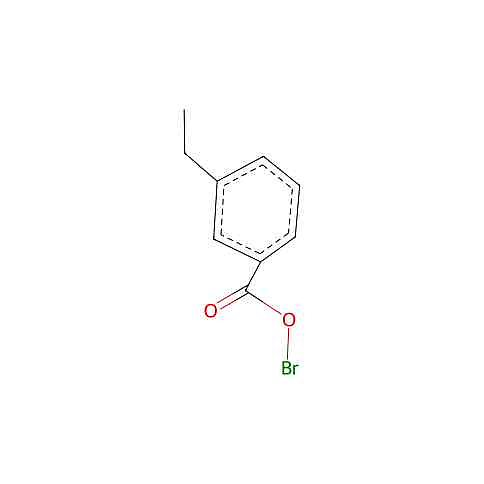 CCc1cccc(C(=O)OBr)c1